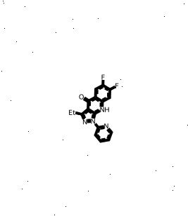 CCc1nn(-c2ccccn2)c2[nH]c3cc(F)c(F)cc3c(=O)c12